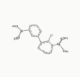 OB(O)c1cccc(-c2cccc(B(O)O)c2Cl)c1